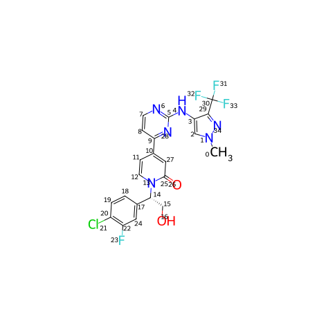 Cn1cc(Nc2nccc(-c3ccn([C@H](CO)c4ccc(Cl)c(F)c4)c(=O)c3)n2)c(C(F)(F)F)n1